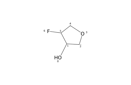 OC1[CH]OCC1F